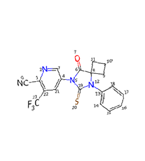 N#Cc1ncc(N2C(=O)C3(CCC3)N(c3ccccc3)C2=S)cc1C(F)(F)F